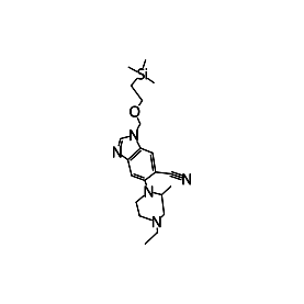 CCN1CCN(c2cc3ncn(COCC[Si](C)(C)C)c3cc2C#N)C(C)C1